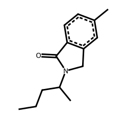 CCCC(C)N1Cc2cc(C)ccc2C1=O